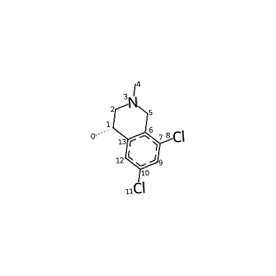 C[C@@H]1CN(C)Cc2c(Cl)cc(Cl)cc21